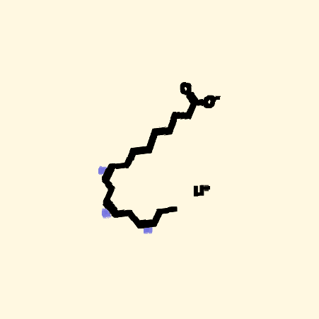 CC/C=C\C/C=C\C/C=C\CCCCCCCC(=O)[O-].[Li+]